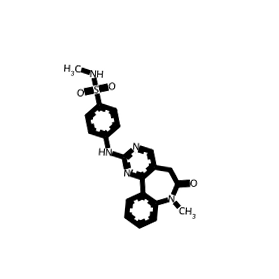 CNS(=O)(=O)c1ccc(Nc2ncc3c(n2)-c2ccccc2N(C)C(=O)C3)cc1